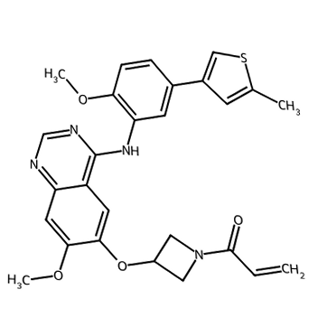 C=CC(=O)N1CC(Oc2cc3c(Nc4cc(-c5csc(C)c5)ccc4OC)ncnc3cc2OC)C1